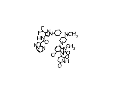 CN(C[C@H]1CC[C@H](n2cc(NC(=O)c3cnn4cccnc34)c(C(F)F)n2)CC1)C1CCN(c2ccc(Cl)c3c2n(C)c(=O)n3C2CCC(=O)NC2=O)CC1